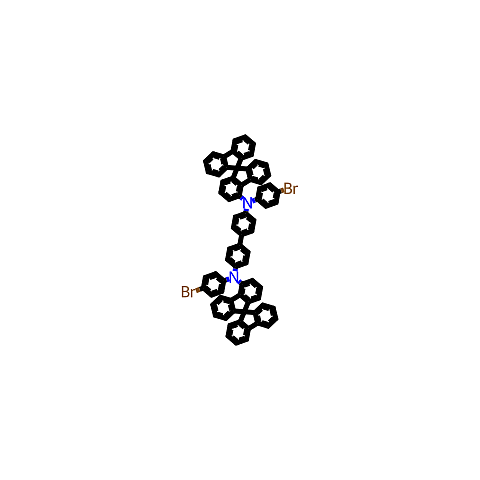 Brc1ccc(N(c2ccc(-c3ccc(N(c4ccc(Br)cc4)c4cccc5c4-c4ccccc4C54c5ccccc5-c5ccccc54)cc3)cc2)c2cccc3c2-c2ccccc2C32c3ccccc3-c3ccccc32)cc1